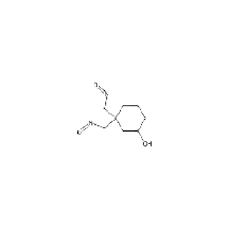 O=NCC1(CN=O)CCCC(O)C1